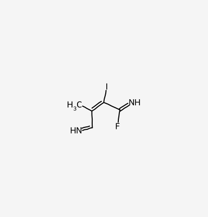 C/C(C=N)=C(\I)C(=N)F